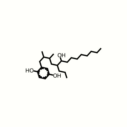 CCCCCCCCC(O)C(CCC)CC(C)C(C)Cc1cc(O)ccc1O